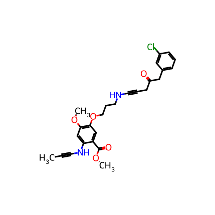 CC#CNc1cc(OC)c(OCCCNC#CCC(=O)Cc2cccc(Cl)c2)cc1C(=O)OC